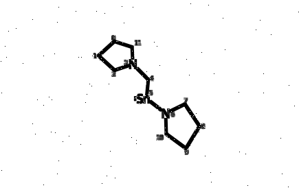 C1CCN([CH2][Sn][N]2CCCC2)C1